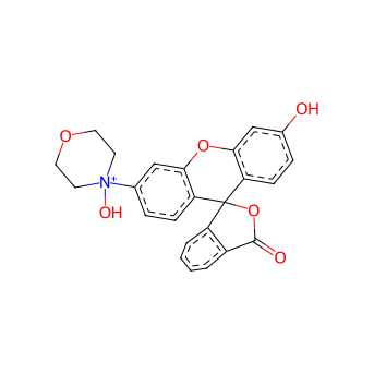 O=C1OC2(c3ccc(O)cc3Oc3cc([N+]4(O)CCOCC4)ccc32)c2ccccc21